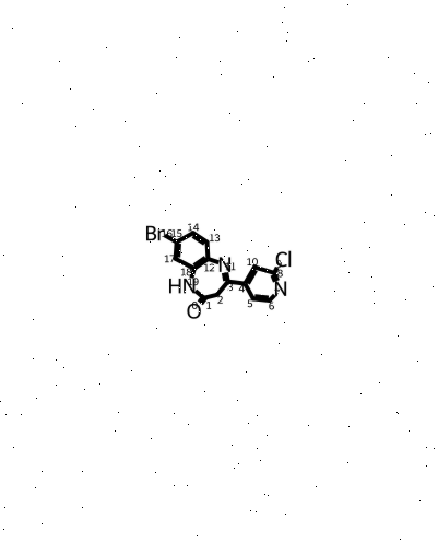 O=C1CC(c2ccnc(Cl)c2)=Nc2ccc(Br)cc2N1